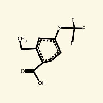 CCc1cc(SC(F)(F)F)ccc1C(=O)O